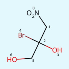 O=[N+]([O-])CC(O)(Br)CO